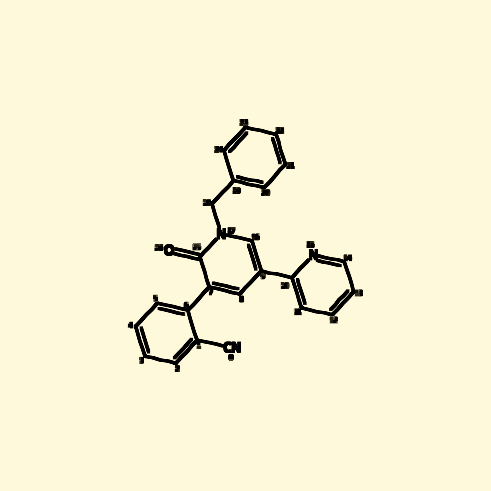 N#Cc1ccccc1-c1cc(-c2ccccn2)cn(Cc2ccccc2)c1=O